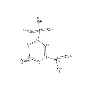 O=[N+]([O-])c1[c]ccc(S(=O)(=O)O)c1.[NaH]